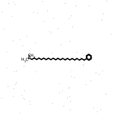 CN(C)CCCCCCCCCCCCCCCCCCCCCCCc1ccccc1